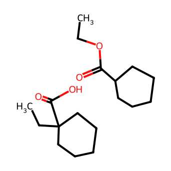 CCC1(C(=O)O)CCCCC1.CCOC(=O)C1CCCCC1